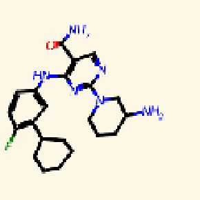 NC(=O)c1cnc(N2CCCC(N)C2)nc1Nc1ccc(F)c(C2CCCCC2)c1